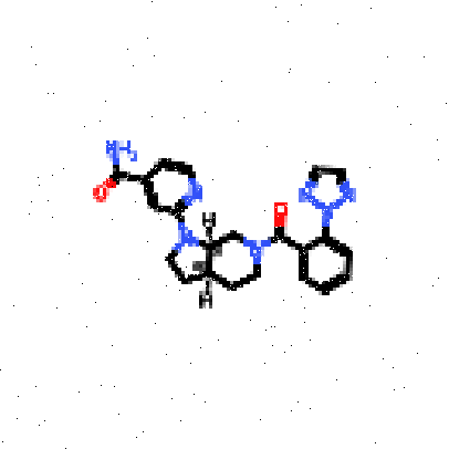 NC(=O)c1ccnc(N2CC[C@@H]3CCN(C(=O)c4ccccc4-n4nccn4)C[C@@H]32)c1